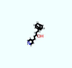 OC(C[CH]c1ccncc1)CCC12CC3CC(CC(C3)C1)C2